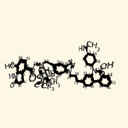 CN[C@H]1CC[C@H](N(C(=O)O)c2cc(CCCn3nnc4cc(CNC[C@H](O[Si](C)(C)C(C)(C)C)c5ccc(O)c6[nH]c(=O)ccc56)ccc43)ccc2-c2ccccc2)CC1